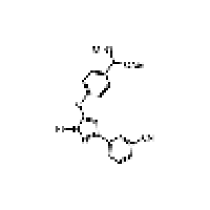 CCn1nc(-c2cccc(C#N)c2)cc1Oc1ccc(C(OC)OC)cc1